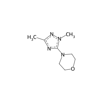 Cc1nc(N2CCOCC2)n(C)n1